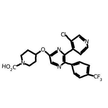 O=C(O)N1CCC(Oc2cnc(-c3ccc(C(F)(F)F)cc3)c(-c3ccncc3Cl)n2)CC1